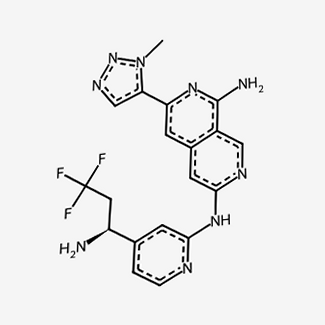 Cn1nncc1-c1cc2cc(Nc3cc([C@@H](N)CC(F)(F)F)ccn3)ncc2c(N)n1